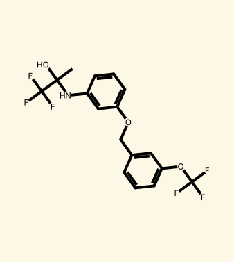 CC(O)(Nc1cccc(OCc2cccc(OC(F)(F)F)c2)c1)C(F)(F)F